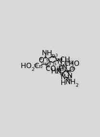 CN(c1ccc(C(N)=O)c(C(CCC(=O)O)C(=O)O)c1)C1CNc2[nH]c(N)nc(=O)c2N1C=O